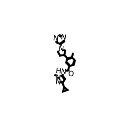 Cc1ccc(C(=O)Nc2cc(C3CC3)nn2C)cc1C1CCN(c2cncnc2)C1